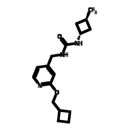 O=C(NCc1ccnc(OCC2CCC2)c1)N[C@H]1C[C@H](C(F)(F)F)C1